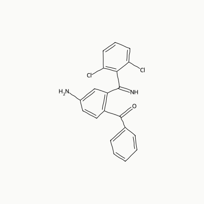 N=C(c1cc(N)ccc1C(=O)c1ccccc1)c1c(Cl)cccc1Cl